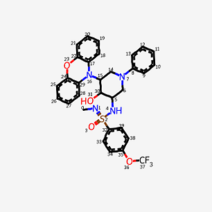 CN=S(=O)(NC1CN(c2ccccc2)CC(N2c3ccccc3Oc3ccccc32)C1O)c1ccc(OC(F)(F)F)cc1